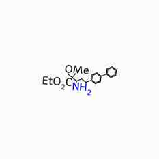 CCOC(=O)C(C)(COC)C(N)CCc1ccc(-c2ccccc2)cc1